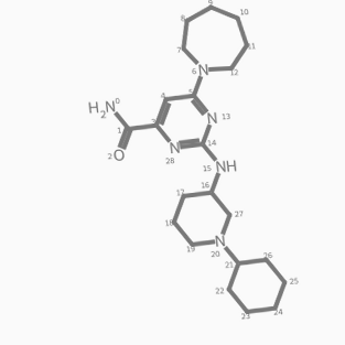 NC(=O)c1cc(N2CCCCCC2)nc(NC2CCCN(C3CCCCC3)C2)n1